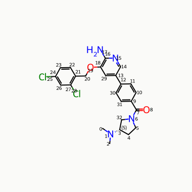 CN(C)[C@H]1CCN(C(=O)c2ccc(-c3cnc(N)c(OCc4ccc(Cl)cc4Cl)c3)cc2)C1